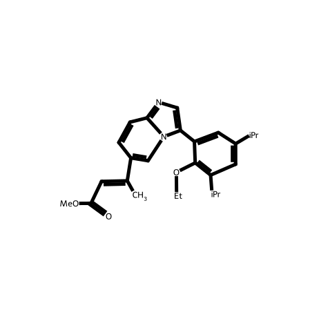 CCOc1c(-c2cnc3ccc(/C(C)=C/C(=O)OC)cn23)cc(C(C)C)cc1C(C)C